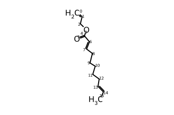 C=CCOC(=O)/C=C/CCCCC/C=C/C